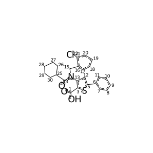 O=C(O)c1sc(-c2ccccc2)cc1N(Cc1ccccc1Cl)C(=O)C1CCCCC1